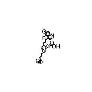 COc1ccc2nccc([C@H](F)CC[C@@H]3CCN(CCCCc4ncco4)C[C@H]3CCC(=O)O)c2c1